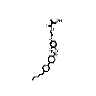 C=C(CO)C(=O)OCCOc1ccc(OC(F)(F)C2CCC(C3CCC(CCCCC)CC3)CC2)c(F)c1